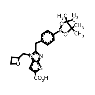 CC1(C)OB(c2ccc(Cc3nc4sc(C(=O)O)cc4n3CC3CCO3)cc2)OC1(C)C